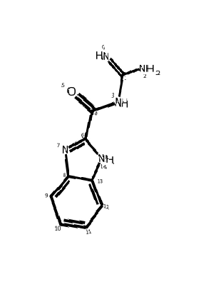 N=C(N)NC(=O)c1nc2ccccc2[nH]1